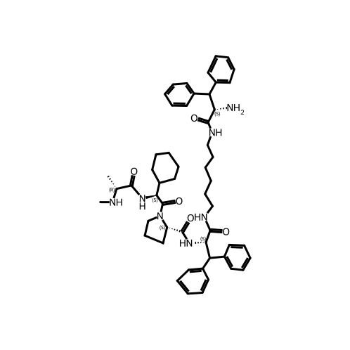 CN[C@H](C)C(=O)N[C@H](C(=O)N1CCC[C@H]1C(=O)N[C@H](C(=O)NCCCCCCNC(=O)[C@@H](N)C(c1ccccc1)c1ccccc1)C(c1ccccc1)c1ccccc1)C1CCCCC1